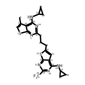 Cc1csc2nc(CCCc3cc4c(NC5CC5)nc(C(F)(F)F)nc4s3)nc(NC3CC3)c12